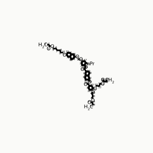 C=CC(=O)OCCCCCCOc1ccc2cc(OCOc3ccc(OC(=O)c4ccc5cc(OC(=O)c6ccc(OCCCOC(=O)C=C)c(OCCCOC(=O)C=C)c6)ccc5c4)c(CCC)c3)ccc2c1